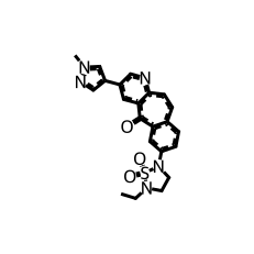 CCN1CCN(c2ccc3ccc4ncc(-c5cnn(C)c5)cc4c(=O)c3c2)S1(=O)=O